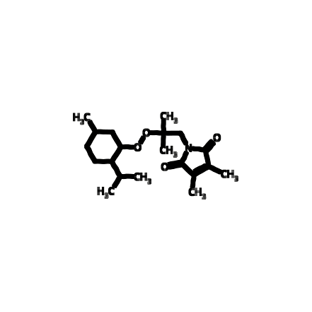 CC1=C(C)C(=O)N(CC(C)(C)OOC2CC(C)CCC2C(C)C)C1=O